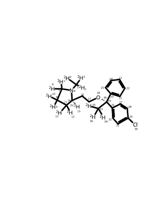 [2H]C([2H])([2H])N1C([2H])([2H])C([2H])([2H])C([2H])([2H])[C@]1([2H])CCO[C@](c1ccccc1)(c1ccc(Cl)cc1)C([2H])([2H])[2H]